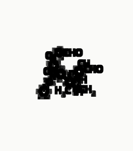 C=CN(c1c(C)cc(-c2ccc3c(c2)N(C2CC(N4CCCCC4)C2)C(=O)C32CCN(C(=O)C3CCN(C=O)C3)CC2)nc1Nc1cc(C=O)c(C)cc1F)C(C)C